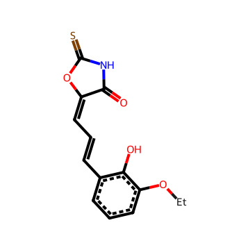 CCOc1cccc(C=CC=C2OC(=S)NC2=O)c1O